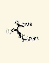 C=C(C#[N+]CCCCCC)C(=O)OC